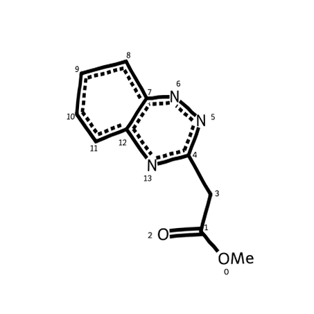 COC(=O)Cc1nnc2ccccc2n1